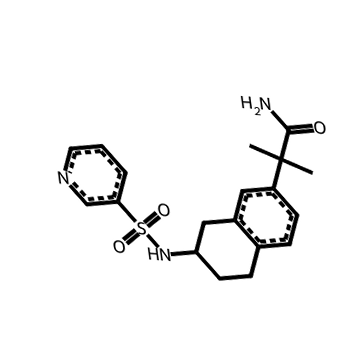 CC(C)(C(N)=O)c1ccc2c(c1)CC(NS(=O)(=O)c1cccnc1)CC2